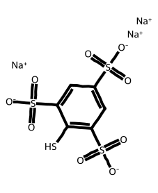 O=S(=O)([O-])c1cc(S(=O)(=O)[O-])c(S)c(S(=O)(=O)[O-])c1.[Na+].[Na+].[Na+]